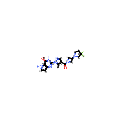 Cc1c(C(=O)N2CC(N3CCC(F)(F)C3)C2)cnn1-c1nc2cc[nH]c2c(=O)[nH]1